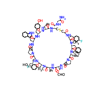 CCCC[C@H]1C(=O)N2CCC[C@@H]2C(=O)N[C@@H](COC=O)C(=O)N[C@@H](C(C)C)C(=O)N(C)[C@@H](Cc2ccc(F)cc2)C(=O)N[C@@H](CCC(=O)O)C(=O)N2CCC[C@@H]2C(=O)N[C@@H](Cc2c[nH]c3ccccc23)C(=O)N[C@@H](Cc2ccc(O)cc2)C(=O)N[C@@H](CC(C)C)C(=O)N[C@H](C(=O)NCC(N)=O)CSCC(=O)N[C@@H](Cc2ccc(F)cc2)C(=O)N(C)[C@@H](Cc2ccccc2)C(=O)N1C